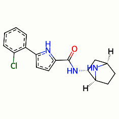 O=C(N[C@@H]1C[C@H]2CC[C@@H]1N2)c1ccc(-c2ccccc2Cl)[nH]1